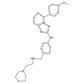 COc1ccc(-c2cccc3nc(Nc4ccc(CNCCN5CCOCC5)cc4)nn23)cc1